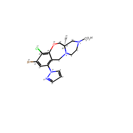 O=C(O)N1CCN2Cc3c(-n4cccn4)cc(Br)c(Cl)c3OC[C@H]2C1